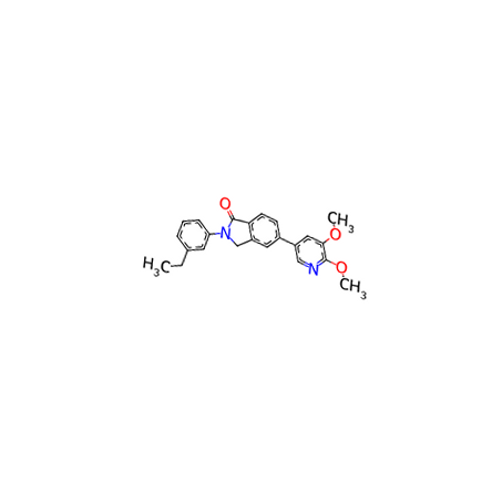 CCc1cccc(N2Cc3cc(-c4cnc(OC)c(OC)c4)ccc3C2=O)c1